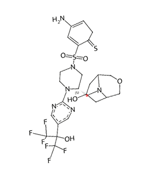 NC1=CCC(=S)C(S(=O)(=O)N2CCN(c3ncc(C(O)(C(F)(F)F)C(F)(F)F)cn3)[C@@H](CN3C4COCC3CC(O)C4)C2)=C1